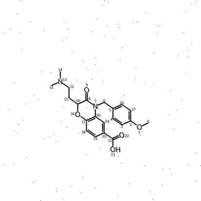 COc1ccc(CN2C(=O)C(CCN(C)C)Oc3ccc(C(=O)O)cc32)cc1